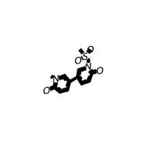 Cn1cc(-c2ccc(=O)n(CS(C)(=O)=O)c2)ccc1=O